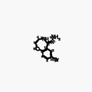 N/N=C1\NCCOc2ccc(Br)cc21